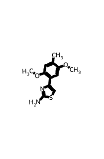 COc1cc(-c2csc(N)n2)c(OC)cc1C